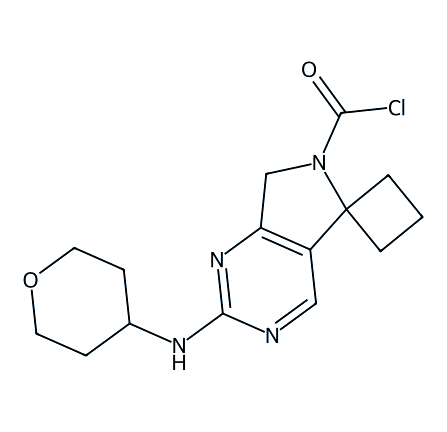 O=C(Cl)N1Cc2nc(NC3CCOCC3)ncc2C12CCC2